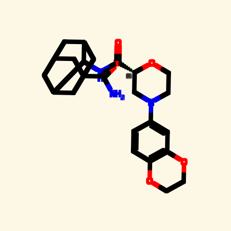 NC(=O)C12CC3CC(C1)C(NC(=O)[C@H]1CN(c4ccc5c(c4)OCCO5)CCO1)C(C3)C2